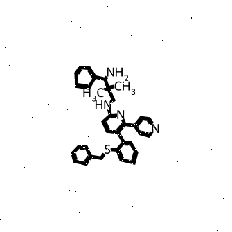 CC(C)(CNc1ccc(-c2ccccc2SCc2ccccc2)c(-c2ccncc2)n1)C(N)c1ccccc1